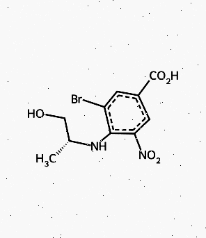 C[C@H](CO)Nc1c(Br)cc(C(=O)O)cc1[N+](=O)[O-]